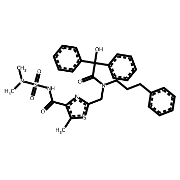 Cc1sc(CN(CCCc2ccccc2)C(=O)C(O)(c2ccccc2)c2ccccc2)nc1C(=O)NS(=O)(=O)N(C)C